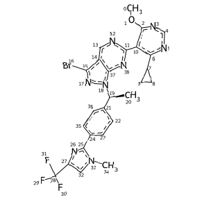 COc1ncnc(C2CC2)c1-c1ncc2c(Br)nn([C@@H](C)c3ccc(-c4nc(C(F)(F)F)cn4C)cc3)c2n1